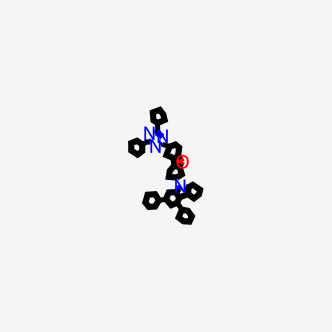 c1ccc(-c2cc(-c3ccccc3)c3c4ccccc4n(-c4ccc5c(c4)oc4ccc(-c6nc(-c7ccccc7)nc(-c7ccccc7)n6)cc45)c3c2)cc1